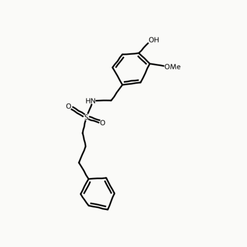 COc1cc(CNS(=O)(=O)CCCc2ccccc2)ccc1O